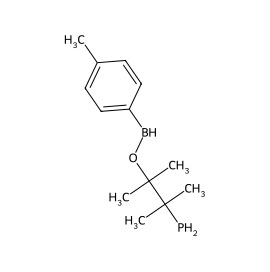 Cc1ccc(BOC(C)(C)C(C)(C)P)cc1